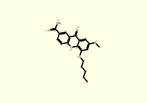 CCCCCOc1cc(SC)cc2c(=O)c3cc(C(=O)O)ccc3oc12